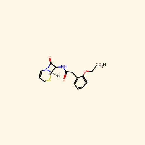 O=C(O)COc1ccccc1CC(=O)NC1C(=O)N2C=CCS[C@H]12